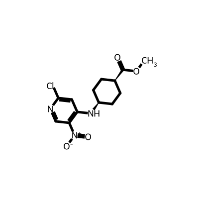 COC(=O)[C@H]1CC[C@@H](Nc2cc(Cl)ncc2[N+](=O)[O-])CC1